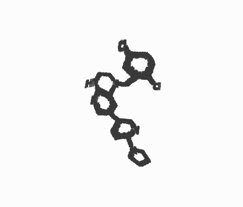 Clc1ccc(Cl)c(CN2CCNc3ncc(-c4ccc(N5CCCC5)nc4)cc32)c1